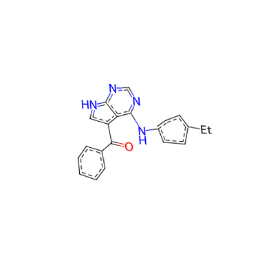 CCc1ccc(Nc2ncnc3[nH]cc(C(=O)c4ccccc4)c23)cc1